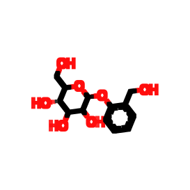 OCc1ccccc1O[C@@H]1OC(CO)[C@@H](O)C(O)C1O